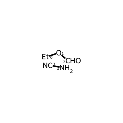 CCOC=O.N#CN